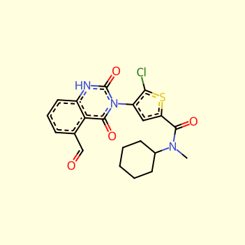 CN(C(=O)c1cc(-n2c(=O)[nH]c3cccc(C=O)c3c2=O)c(Cl)s1)C1CCCCC1